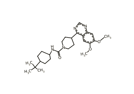 COc1cc2ncnc(C3CCN(C(=O)NC4CCC(C(C)(C)C)CC4)CC3)c2cc1OC